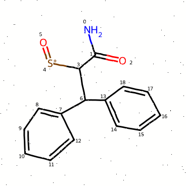 NC(=O)C([S+]=O)C(c1ccccc1)c1ccccc1